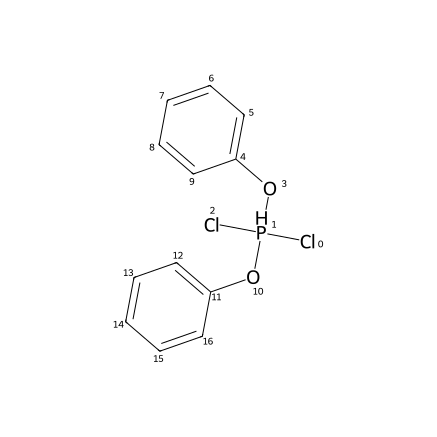 Cl[PH](Cl)(Oc1ccccc1)Oc1ccccc1